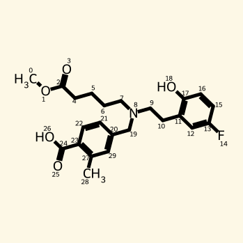 COC(=O)CCCCN(CCc1cc(F)ccc1O)Cc1ccc(C(=O)O)c(C)c1